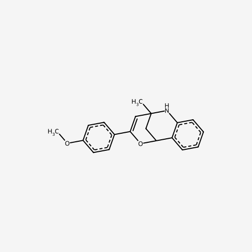 COc1ccc(C2=CC3(C)CC(O2)c2ccccc2N3)cc1